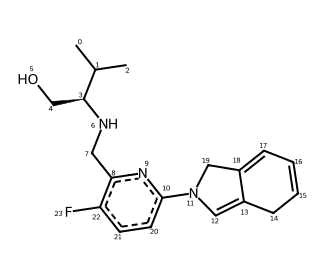 CC(C)[C@H](CO)NCc1nc(N2C=C3CC=CC=C3C2)ccc1F